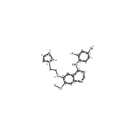 COc1cc2ncnc(Nc3ccc(Br)cc3F)c2cc1OCCn1ccnn1